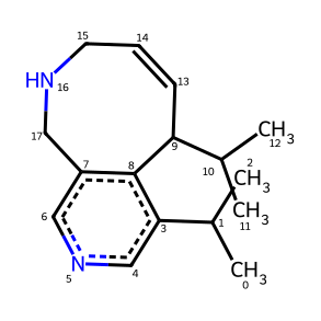 CC(C)c1cncc2c1C(C(C)C)/C=C\CNC2